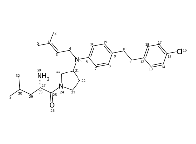 CC(C)=CCN(c1ccc(CCc2ccc(Cl)cc2)cc1)C1CCN(C(=O)[C@@H](N)CC(C)C)C1